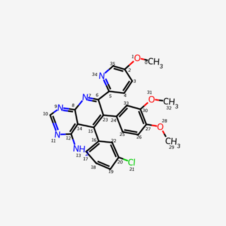 COc1ccc(-c2nc3ncnc(N)c3c(-c3cccc(Cl)c3)c2-c2ccc(OC)c(OC)c2)nc1